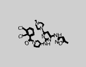 Cc1cc(Nc2cc(N3CCN(C)CC3)nc(N[C@H]3CCN(C(=O)c4cccc(Cl)c4Cl)C3)n2)no1